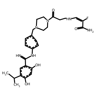 CC(C)c1cc(C(=N)Nc2ccc(CN3CCN(C(=O)CCN/C=C(/F)C(N)=O)CC3)cc2)c(O)cc1O